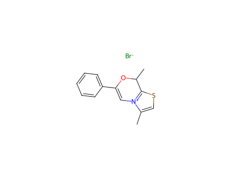 Cc1csc2[n+]1C=C(c1ccccc1)OC2C.[Br-]